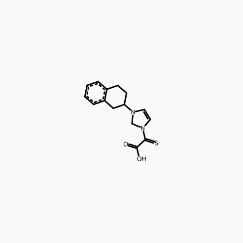 O=C(O)C(=S)N1C=CN(C2CCc3ccccc3C2)C1